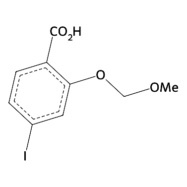 COCOc1cc(I)ccc1C(=O)O